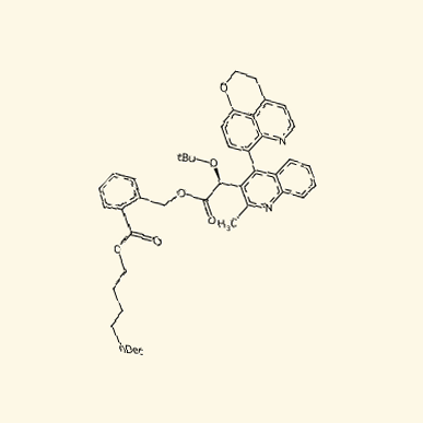 CCCCCCCCCCCCCCOC(=O)c1ccccc1COC(=O)[C@@H](OC(C)(C)C)c1c(C)nc2ccccc2c1-c1ccc2c3c(ccnc13)CCO2